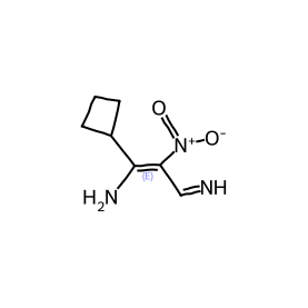 N=C/C(=C(\N)C1CCC1)[N+](=O)[O-]